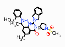 Cc1cc(C(C)Nc2ccccc2C(=O)O)c2nc(N3Cc4ccccc4C3)n([C@@H]3CCN(S(C)(=O)=O)C3)c(=O)c2c1